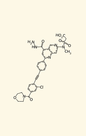 CN(c1cc2nc(-c3ccc(C#Cc4ccc(C(=O)N5CCOCC5)cc4Cl)cc3)cc(C(=O)NN)c2cn1)S(=O)(=O)CC(=O)O